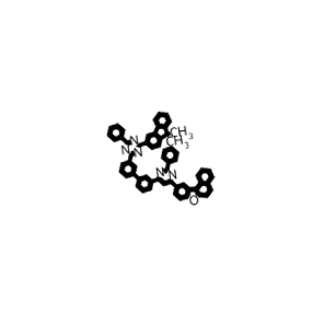 CC1(C)c2ccccc2-c2cc(-c3nc(-c4ccccc4)nc(-c4cccc(-c5cccc(-c6cc(-c7ccc8oc9ccc%10ccccc%10c9c8c7)nc(-c7ccccc7)n6)c5)c4)n3)ccc21